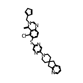 C=C1c2c(ccc(Sc3cnc(N4CCC5(CC4)Cc4cccnc4C5)cn3)c2Cl)N=CN1CC1=CCC=C1